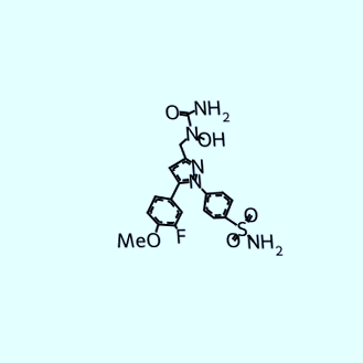 COc1ccc(-c2cc(CN(O)C(N)=O)nn2-c2ccc(S(N)(=O)=O)cc2)cc1F